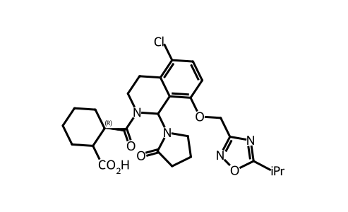 CC(C)c1nc(COc2ccc(Cl)c3c2C(N2CCCC2=O)N(C(=O)[C@@H]2CCCCC2C(=O)O)CC3)no1